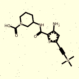 C[Si](C)(C)C#Cc1cc(N)c(C(=O)NC2CCCN(C(=O)O)C2)s1